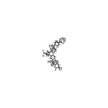 Cc1cc(S(=O)(=O)Nc2cccc(-c3nc(C(C)C)sc3-c3ccnc(Nc4ccc(N5CCOCC5)nc4)n3)c2)c(F)cc1Cl